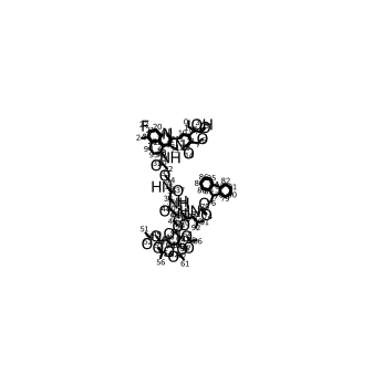 CC[C@@]1(O)C(=O)OCc2c1cc1n(c2=O)Cc2c-1nc1cc(F)c(C)c3c1c2[C@@H](NC(=O)COCNC(=O)CNC(=O)[C@H](CO[C@@H]1O[C@H](COC(C)=O)[C@H](OC(C)=O)[C@H](OC(C)=O)[C@H]1OC(C)=O)NC(=O)[C@@H](NC(=O)OCC1c2ccccc2-c2ccccc21)C(C)C)CC3